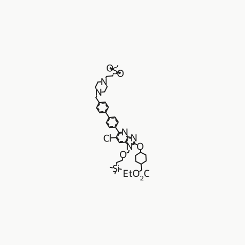 CCOC(=O)CC1CCC(Oc2nc3nc(-c4ccc(-c5ccc(CN6CCN(CCS(C)(=O)=O)CC6)cc5)cc4)c(Cl)cc3n2COCC[Si](C)(C)C)CC1